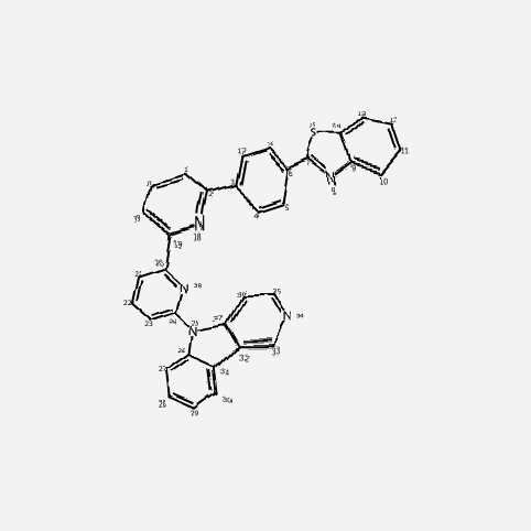 c1cc(-c2ccc(-c3nc4ccccc4s3)cc2)nc(-c2cccc(-n3c4ccccc4c4cnccc43)n2)c1